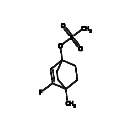 CC12CCC(OS(C)(=O)=O)(C=C1F)CC2